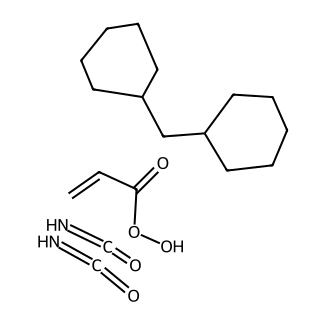 C1CCC(CC2CCCCC2)CC1.C=CC(=O)OO.N=C=O.N=C=O